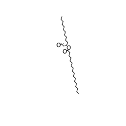 CCCCCCCCCCCCCCCCCC(=O)OC(C[C]=O)CCCCCCCCCCC